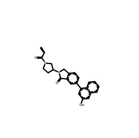 C=CC(=O)N1CCC(N2Cc3ccc(-c4cc(O)cc5ccccc45)cc3C2=O)C1